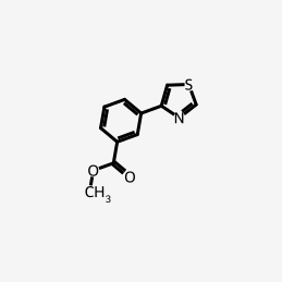 COC(=O)c1cccc(-c2cscn2)c1